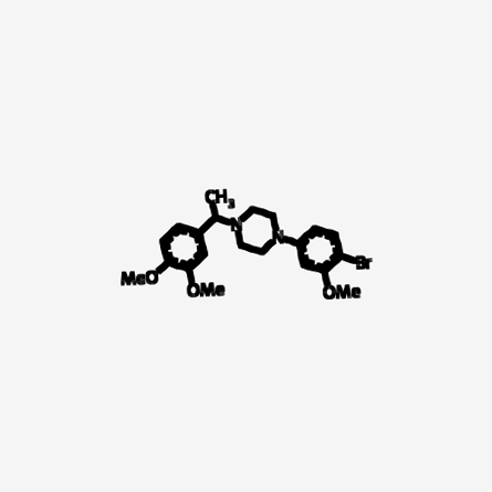 COc1cc(N2CCN(C(C)c3ccc(OC)c(OC)c3)CC2)ccc1Br